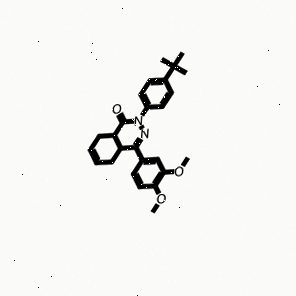 COc1ccc(C2=NN(c3ccc(C(C)(C)C)cc3)C(=O)C3CC=CCC23)cc1OC